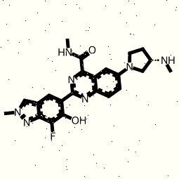 CNC(=O)c1nc(-c2cc3cn(C)nc3c(F)c2O)nc2ccc(N3CC[C@H](NC)C3)cc12